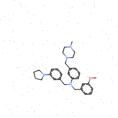 COc1cccc(CN(Cc2cccc(N3CCCC3)c2)c2cccc(CN3CCN(C)CC3)c2)c1